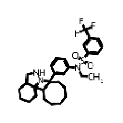 CCN(c1cccc(CN2NCC3CCCCC32C2CCCCCCC2)c1)S(=O)(=O)c1cccc(C(F)(F)F)c1